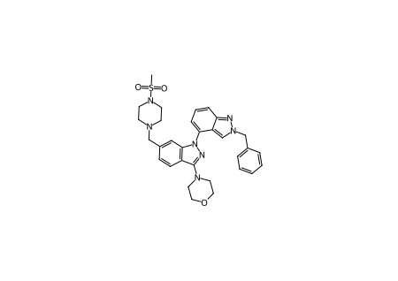 CS(=O)(=O)N1CCN(Cc2ccc3c(N4CCOCC4)nn(-c4cccc5nn(Cc6ccccc6)cc45)c3c2)CC1